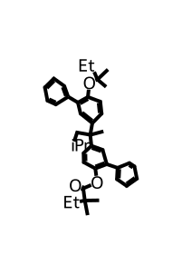 CCC(C)(C)Oc1ccc(C(C)(CC(C)C)c2ccc(OC(=O)C(C)(C)CC)c(-c3ccccc3)c2)cc1-c1ccccc1